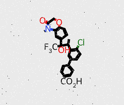 CC(c1cc(-c2ccc(C(=O)O)cc2)ccc1Cl)C(O)(c1ccc2c(c1)N(C)C(=O)CO2)C(F)(F)F